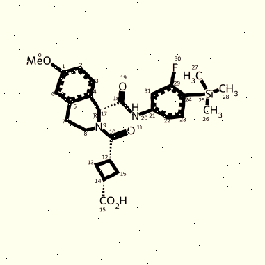 COc1ccc2c(c1)CCN(C(=O)[C@H]1C[C@@H](C(=O)O)C1)[C@H]2C(=O)Nc1ccc([Si](C)(C)C)c(F)c1